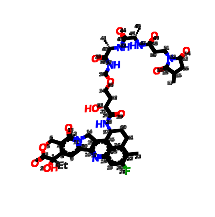 CC[C@@]1(O)C(=O)OCc2c1cc1n(c2=O)Cc2c-1nc1cc(F)c(C)c3c1c2[C@@H](NC(=O)[C@H](O)CCOCNC(=O)[C@H](C)NC(=O)[C@H](C)NC(=O)CCN1C(=O)CC(C)C1=O)CC3